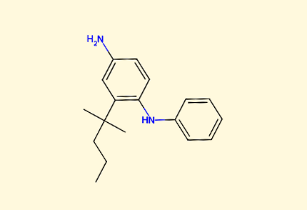 CCCC(C)(C)c1cc(N)ccc1Nc1ccccc1